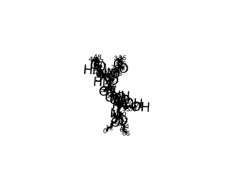 CCCCOc1cnc(-c2nn(S(=O)(=O)NC(=O)N3C[C@H](NC(=O)/C(=N\OC(C)(C)C(=O)OC(C)(C)C)c4csc(NC(=O)OC(C)(C)C)n4)C3=O)c(=O)n2C[C@H](O)CO)cc1OCCCC